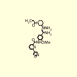 C=CC(=O)N1CCC[C@H](N(N)/C=C(\N)c2ccc(NC(=O)c3cccc(-c4cnoc4)n3)c(OC)c2)C1